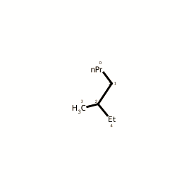 CCC[C]C(C)CC